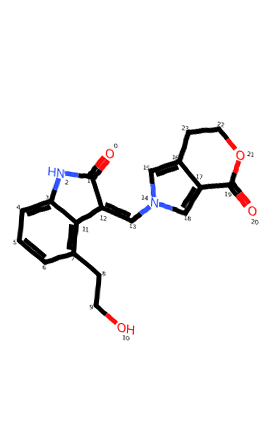 O=C1Nc2cccc(CCO)c2C1=Cn1cc2c(c1)C(=O)OCC2